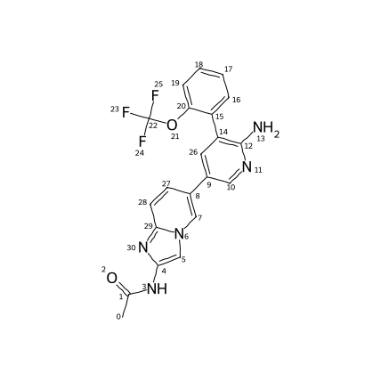 CC(=O)Nc1cn2cc(-c3cnc(N)c(-c4ccccc4OC(F)(F)F)c3)ccc2n1